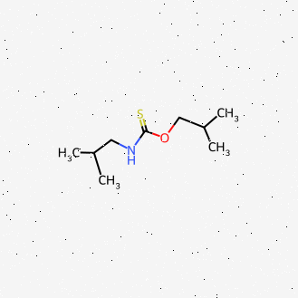 CC(C)CNC(=S)OCC(C)C